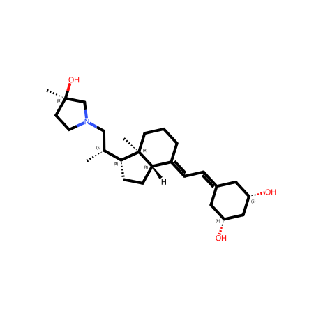 C[C@H](CN1CC[C@@](C)(O)C1)[C@H]1CC[C@H]2C(=CC=C3C[C@@H](O)C[C@@H](O)C3)CCC[C@]12C